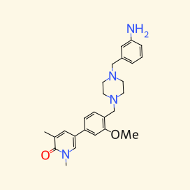 COc1cc(-c2cc(C)c(=O)n(C)c2)ccc1CN1CCN(Cc2cccc(N)c2)CC1